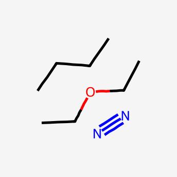 CCCC.CCOCC.N#N